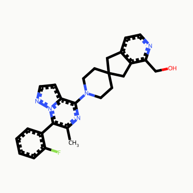 Cc1nc(N2CCC3(CC2)Cc2ccnc(CO)c2C3)c2ccnn2c1-c1ccccc1F